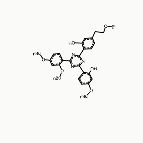 CCCCOc1ccc(-c2nc(-c3ccc(CCOCC)cc3O)nc(-c3ccc(OCCCC)cc3OCCCC)n2)c(O)c1